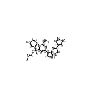 COCOC(C)(c1cccc(F)c1)c1cc(-c2c[nH]c3ncc(-c4cnn(C)c4)nc23)nc(N)n1